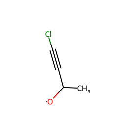 CC([O])C#CCl